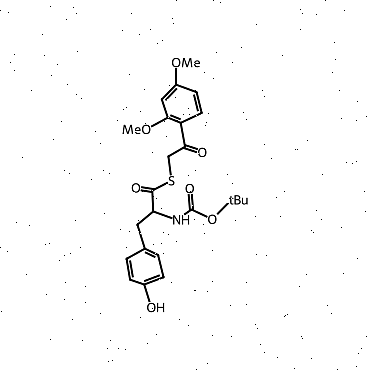 COc1ccc(C(=O)CSC(=O)C(Cc2ccc(O)cc2)NC(=O)OC(C)(C)C)c(OC)c1